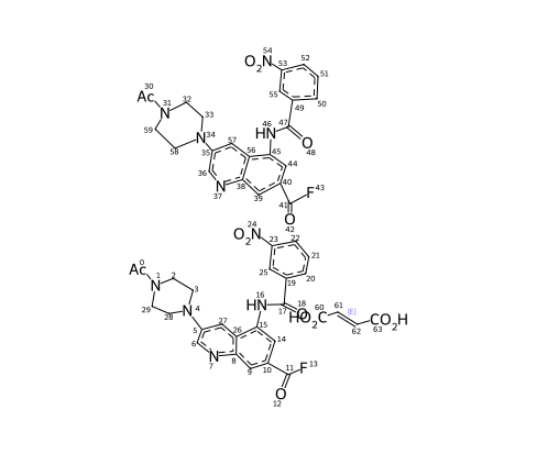 CC(=O)N1CCN(c2cnc3cc(C(=O)F)cc(NC(=O)c4cccc([N+](=O)[O-])c4)c3c2)CC1.CC(=O)N1CCN(c2cnc3cc(C(=O)F)cc(NC(=O)c4cccc([N+](=O)[O-])c4)c3c2)CC1.O=C(O)/C=C/C(=O)O